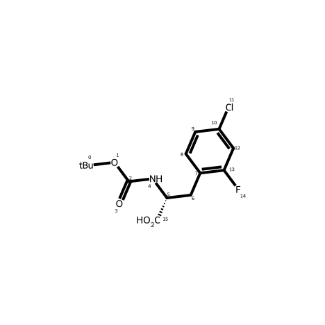 CC(C)(C)OC(=O)N[C@H](Cc1ccc(Cl)cc1F)C(=O)O